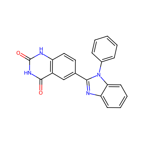 O=c1[nH]c(=O)c2cc(-c3nc4ccccc4n3-c3ccccc3)ccc2[nH]1